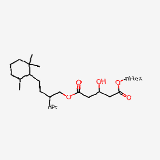 CCCCCCOC(=O)CC(O)CC(=O)OCC(CCC)CCC1C(C)CCCC1(C)C